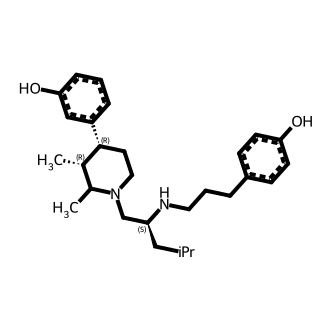 CC(C)C[C@@H](CN1CC[C@@H](c2cccc(O)c2)[C@@H](C)C1C)NCCCc1ccc(O)cc1